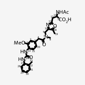 COc1cc(CC(=O)N(C)Cc2nc(CC(NC(C)=O)C(=O)O)oc2C)ccc1NC(=O)Nc1ccccc1C